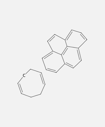 C1=CCCC=CCC1.c1cc2ccc3cccc4ccc(c1)c2c34